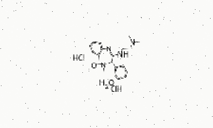 CN(C)CCNC1=Nc2ccccc2C(=O)N(C)C1c1ccccc1.Cl.Cl.O